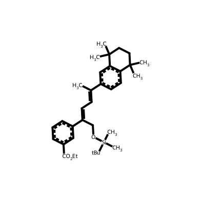 CCOC(=O)c1cccc(/C(=C/C=C(\C)c2ccc3c(c2)C(C)(C)CCC3(C)C)CO[Si](C)(C)C(C)(C)C)c1